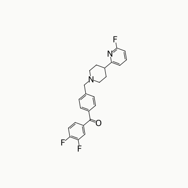 O=C(c1ccc(CN2CCC(c3cccc(F)n3)CC2)cc1)c1ccc(F)c(F)c1